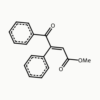 COC(=O)C=C(C(=O)c1ccccc1)c1ccccc1